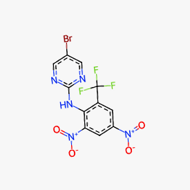 O=[N+]([O-])c1cc([N+](=O)[O-])c(Nc2ncc(Br)cn2)c(C(F)(F)F)c1